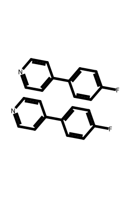 Fc1ccc(-c2ccncc2)cc1.Fc1ccc(-c2ccncc2)cc1